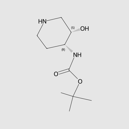 CC(C)(C)OC(=O)N[C@@H]1CCNC[C@@H]1O